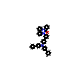 c1ccc(-c2ccc(N(c3ccc(-c4ccccc4)cc3)c3ccc(-c4ccc5c(c4)N(c4ccccc4)c4c(c6ccccc6n4-c4ccccc4)O5)cc3)cc2)cc1